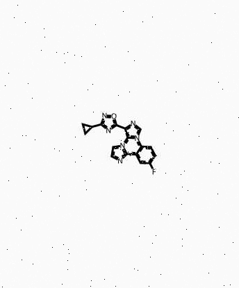 Fc1ccc2c(c1)c1nccn1c1c(-c3nc(C4CC4)no3)ncn21